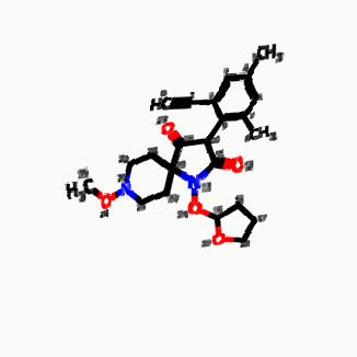 C#Cc1cc(C)cc(C)c1C1C(=O)N(OC2CCCO2)C2(CCN(OC)CC2)C1=O